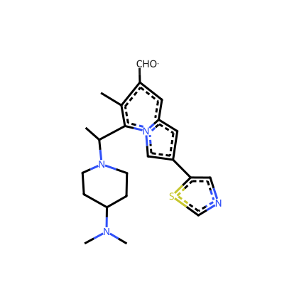 Cc1c([C]=O)cc2cc(-c3cncs3)cn2c1C(C)N1CCC(N(C)C)CC1